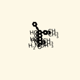 CN(C)c1ccc(-c2cc(C#CC3=CCCCC3)c(O)c3c2CC2CC4C(N(C)C)C(O)=C(C(N)=O)C(=O)C4(O)C(O)=C2C3=O)cc1